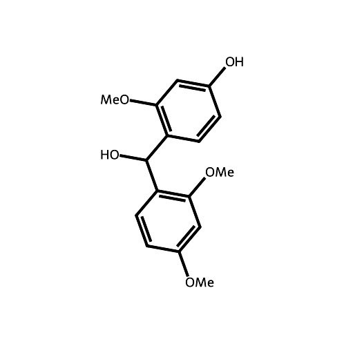 COc1ccc(C(O)c2ccc(O)cc2OC)c(OC)c1